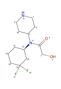 O=C(CO)N(C1CCNCC1)[C@@H]1CCCC(F)(F)C1